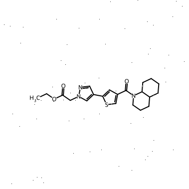 CCOC(=O)Cn1cc(-c2cc(C(=O)N3CCCC4CCCCC43)cs2)cn1